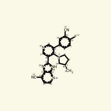 C[C@@H]1CCN(c2c(-c3ccc(F)c(C#N)c3)cncc2-c2nc3c(C#N)ccnc3[nH]2)C1